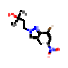 CC(C)(O)CCn1cc2cc([N+](=O)[O-])cc(Br)c2n1